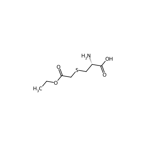 CCOC(=O)CSC[C@H](N)C(=O)O